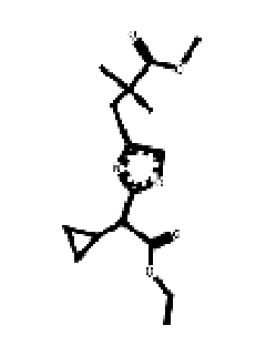 CCOC(=O)C(c1nc(CC(C)(C)C(=O)OC)co1)C1CC1